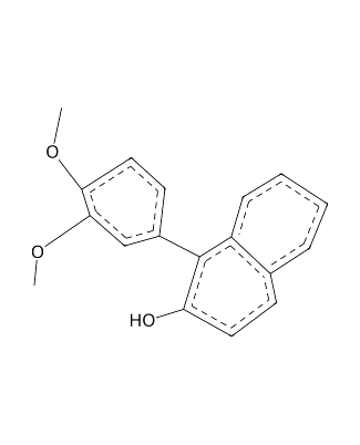 COc1ccc(-c2c(O)ccc3ccccc23)cc1OC